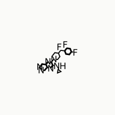 Fc1ccc(C(F)C2CCN(c3nc4cnncc4nc3NC3CC3)CC2)c(F)c1